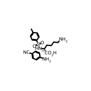 Cc1ccc(S(=O)(=O)N[C@@H](CCCCN)C(=O)O)cc1.N#Cc1ccc(N)cc1